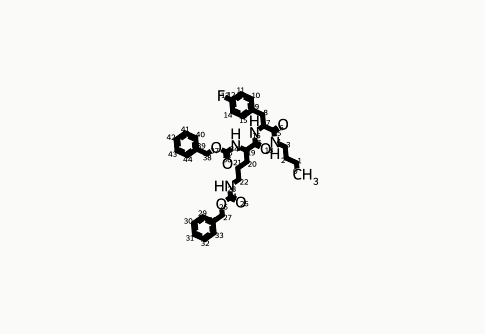 CCCCNC(=O)C(Cc1ccc(F)cc1)NC(=O)C(CCCNC(=O)OCc1ccccc1)NC(=O)OCc1ccccc1